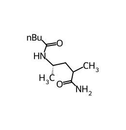 CCCCC(=O)N[C@@H](C)CC(C)C(N)=O